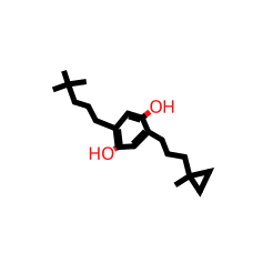 CC(C)(C)CCCc1cc(O)c(CCCC2(C)CC2)cc1O